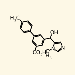 Cc1ccc(-c2cc(C(=O)O)cc(C(O)c3cncn3C)c2)cc1